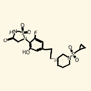 O=C1CN(c2c(O)cc(CC[C@H]3CCCN(S(=O)(=O)C4CC4)C3)cc2F)S(=O)(=O)N1